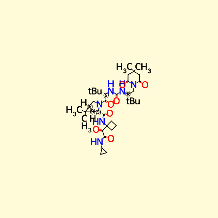 CC1(C)CC(=O)N(C[C@@H](NC(=O)N[C@H](C(=O)N2C[C@H]3[C@@H]([C@H]2C(=O)NC2(C(=O)C(=O)NC4CC4)CCC2)C3(C)C)C(C)(C)C)C(C)(C)C)C(=O)C1